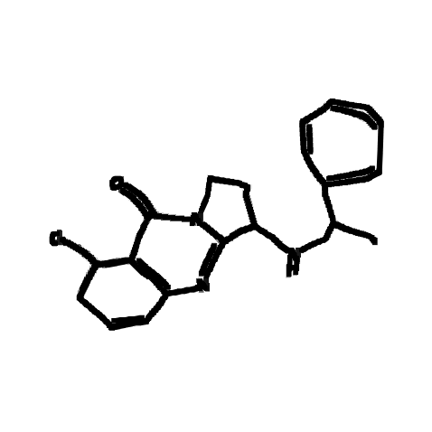 CC(NC1CCn2c1nc1c(c2=O)C(Cl)CC=C1)c1ccccc1